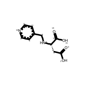 O=C(O)C[C@H](NCc1ccncc1)C(=O)O